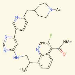 CNC(=O)c1c(F)cnc2c(C(C)CNc3cc(-c4ccc(CC5CCN(C(C)=O)CC5)nc4)ncn3)cccc12